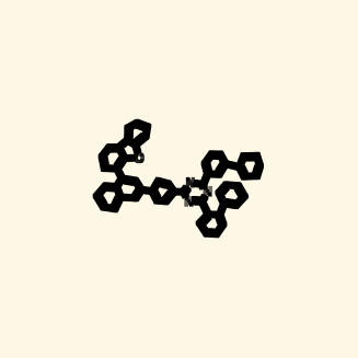 c1ccc(-c2cccc(-c3nc(-c4ccc(-c5cc(-c6cccc7c6oc6ccccc67)c6ccccc6c5)cc4)nc(-c4ccccc4-c4ccccc4)n3)c2)cc1